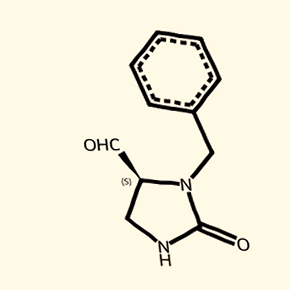 O=C[C@@H]1CNC(=O)N1Cc1ccccc1